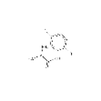 CC(N)C(=O)O.Fc1ccc(F)cc1